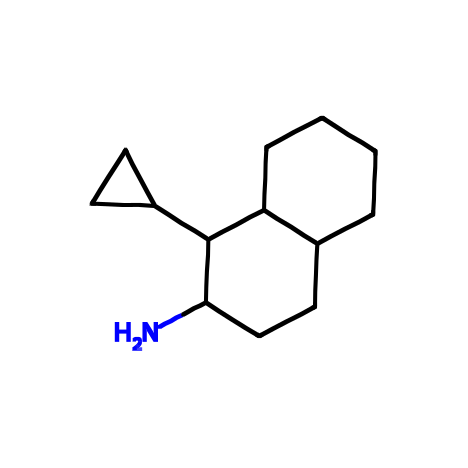 NC1CCC2CCCCC2C1C1CC1